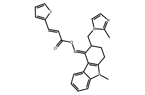 Cc1nccn1CC1CCc2c(c3ccccc3n2C)/C1=N/OC(=O)/C=C/c1cccs1